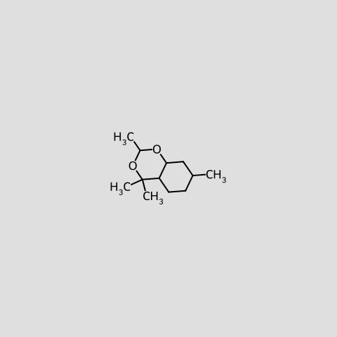 CC1CCC2C(C1)OC(C)OC2(C)C